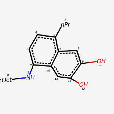 CCCCCCCCNc1ccc(CCC)c2cc(O)c(O)cc12